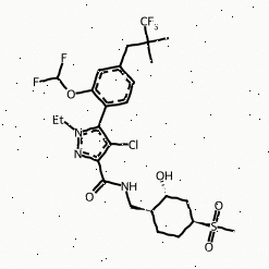 CCn1nc(C(=O)NC[C@@H]2CC[C@H](S(C)(=O)=O)C[C@H]2O)c(Cl)c1-c1ccc(CC(C)(C)C(F)(F)F)cc1OC(F)F